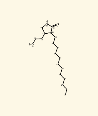 CCCCCCCCCCCCN1C(=O)NCC1CCO